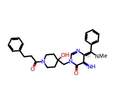 CN/C(=C1/N=CN(CC2(O)CCN(C(=O)CCc3ccccc3)CC2)C(=O)C1=N)c1ccccc1